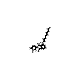 O=C1CCC(N2C(=O)c3cccc(NCCCCCCCCCl)c3C2=O)C(=O)N1